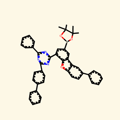 CC1(C)OB(c2cc(-c3nc(-c4ccccc4)nc(-c4ccc(-c5ccccc5)cc4)n3)c3oc4ccc(-c5ccccc5)cc4c3c2)OC1(C)C